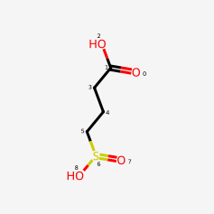 O=C(O)CCCS(=O)O